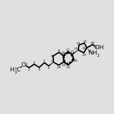 COCCCCC[C@H]1CCc2cc([C@H]3CC[C@@](N)(CO)C3)ccc2C1